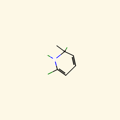 CC1(Cl)C=CC=C(Cl)N1Cl